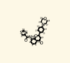 O=C(Nc1cccc2c(=O)cc(-c3ccc(N4CCOCC4)cc3)oc12)c1cscn1